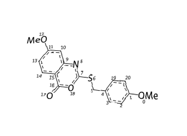 COc1ccc(CSc2nc3cc(OC)ccc3c(=O)o2)cc1